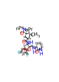 CCCN(CCC)C(=O)c1cc(C)cc(C(=O)N[C@@H](Cc2cc(F)cc(F)c2)[C@H](O)CN[C@H]2CCCCNC2=O)c1